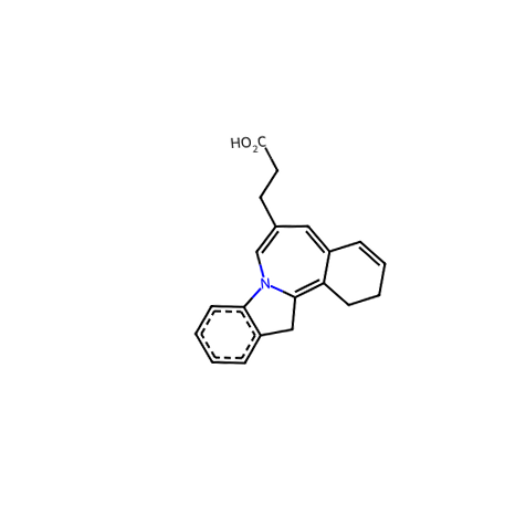 O=C(O)CCC1=CN2C(=C3CCC=CC3=C1)Cc1ccccc12